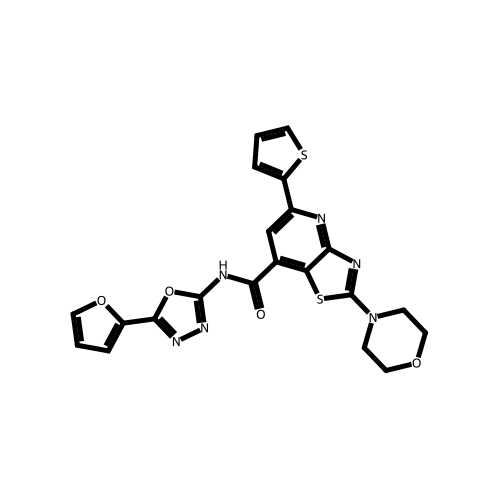 O=C(Nc1nnc(-c2ccco2)o1)c1cc(-c2cccs2)nc2nc(N3CCOCC3)sc12